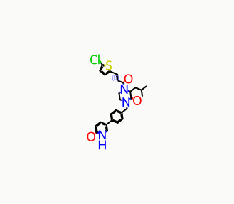 CC(C)CC1C(=O)N(Cc2ccc(-c3ccc(=O)[nH]c3)cc2)CCN1C(=O)/C=C/c1ccc(Cl)s1